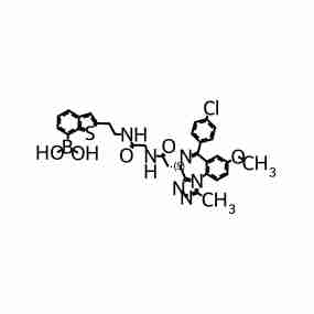 COc1ccc2c(c1)C(c1ccc(Cl)cc1)=N[C@@H](CC(=O)NCC(=O)NCCc1cc3cccc(B(O)O)c3s1)c1nnc(C)n1-2